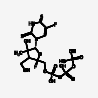 CC1(O)C(CO)[C@@](F)(COP(=O)(O)OP(=O)(O)OP(=O)(O)O)O[C@H]1n1cc(F)c(=S)[nH]c1=S